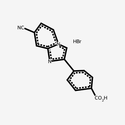 Br.N#Cc1ccn2cc(-c3ccc(C(=O)O)cc3)nc2c1